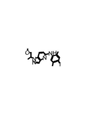 COCC(C)n1ncc2nc(Nc3cc(C)c(I)cc3C)ccc21